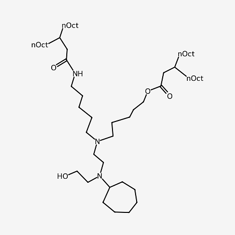 CCCCCCCCC(CCCCCCCC)CC(=O)NCCCCCN(CCCCCOC(=O)CC(CCCCCCCC)CCCCCCCC)CCN(CCO)C1CCCCCC1